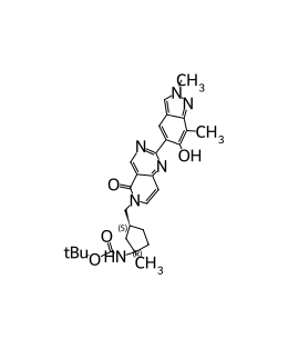 Cc1c(O)c(-c2ncc3c(=O)n(C[C@H]4CC[C@@](C)(NC(=O)OC(C)(C)C)C4)ccc3n2)cc2cn(C)nc12